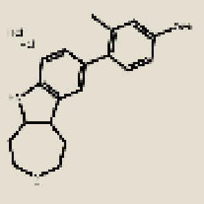 COc1ccc(-c2ccc3c(c2)C2CCNCCC2N3)c(C)c1.Cl.Cl